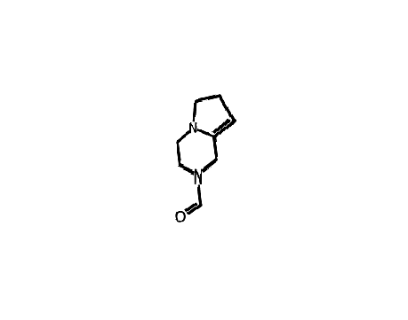 O=CN1CCN2CCC=C2C1